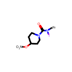 CC(C)N(I)C(=O)N1CCC(O[N+](=O)[O-])CC1